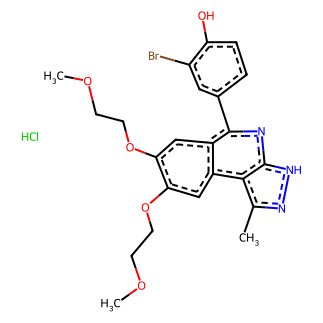 COCCOc1cc2c(-c3ccc(O)c(Br)c3)nc3[nH]nc(C)c3c2cc1OCCOC.Cl